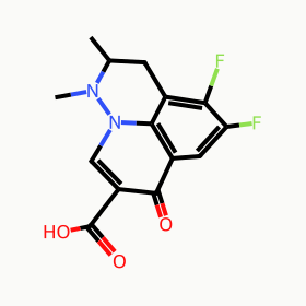 CC1Cc2c(F)c(F)cc3c(=O)c(C(=O)O)cn(c23)N1C